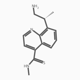 CNC(=S)c1ccnc2c([C@@H](C)CN)cccc12